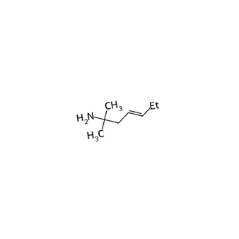 CCC=CCC(C)(C)N